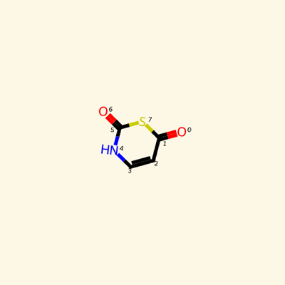 O=c1cc[nH]c(=O)s1